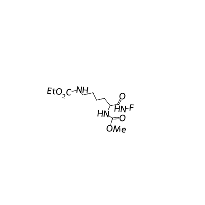 CCOC(=O)NCCCCC(NC(=O)OC)C(=O)NF